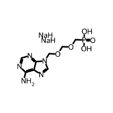 Nc1ncnc2c1ncn2COCOCP(=O)(O)O.[NaH].[NaH]